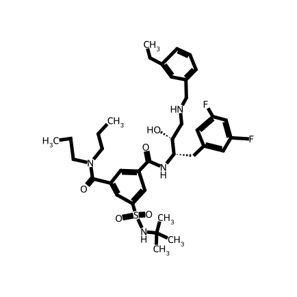 CCCN(CCC)C(=O)c1cc(C(=O)N[C@@H](Cc2cc(F)cc(F)c2)[C@H](O)CNCc2cccc(CC)c2)cc(S(=O)(=O)NC(C)(C)C)c1